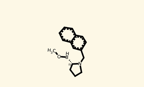 COB[C@H]1CCCN1Cc1ccc2ccccc2c1